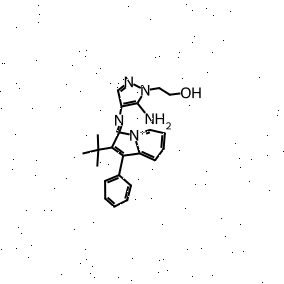 CC(C)(C)C1=C(c2ccccc2)c2cccc[n+]2/C1=N\c1cnn(CCO)c1N